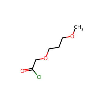 COCCCOCC(=O)Cl